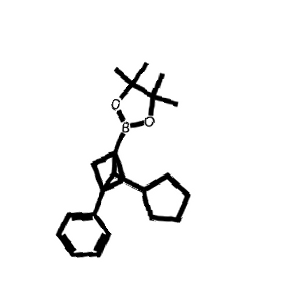 CC1(C)OB(C23CC(c4ccccc4)(C2)C3C2CCCC2)OC1(C)C